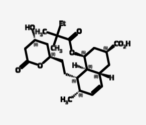 CCC(C)(C)C(=O)O[C@H]1C[C@@H](C(=O)O)C[C@@H]2C=C[C@H](C)[C@H](CC[C@@H]3C[C@@H](O)CC(=O)O3)[C@@H]12